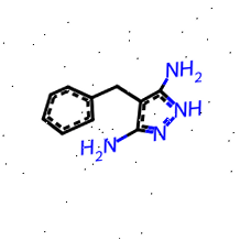 Nc1n[nH]c(N)c1Cc1ccccc1